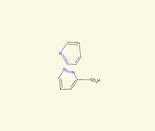 O=S(=O)(O)c1cccnn1.c1ccncc1